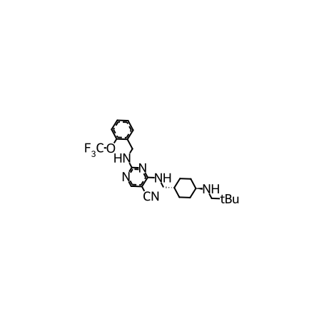 CC(C)(C)CN[C@H]1CC[C@H](CNc2nc(NCc3ccccc3OC(F)(F)F)ncc2C#N)CC1